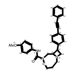 COc1ccc(NC(=O)N2CCCCN3CC(c4ccc(C#Cc5ccccc5)cc4)C3C2)cc1